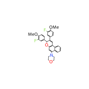 COc1ccc(C2=Cc3c(cc(N4CCOCC4)c4ccccc34)OC2c2ccc(OC)c(F)c2)cc1F